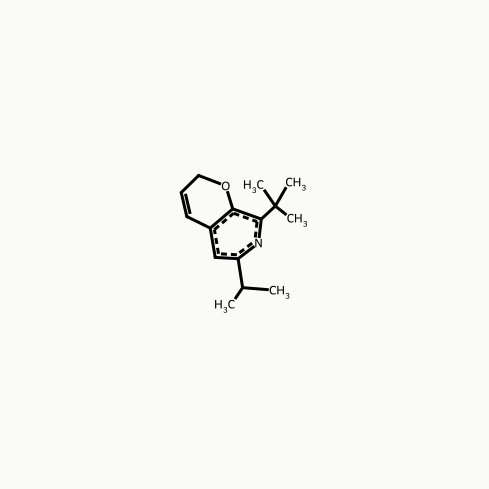 CC(C)c1cc2c(c(C(C)(C)C)n1)OCC=C2